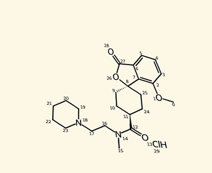 COc1cccc2c1[C@]1(CC[C@H](C(=O)N(C)CCN3CCCCC3)CC1)OC2=O.Cl